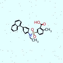 CCN(c1ccc(-c2cccc3ccccc23)cc1)S(=O)(=O)c1ccc(C)c(C(=O)O)c1